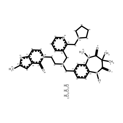 CCN1C(=O)C(C)(C)C(=O)N(C)c2cc(CN(CCn3ccc4oc(C)cc4c3=O)Cc3cccnc3CN3CCCC3)ccc21.Cl.Cl.Cl